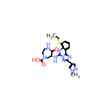 CCSc1cccc2c1nc(N[C@@H]1CN(C(=O)O)CCNC1=O)n1nc(-c3cnn(C)c3)nc21